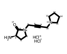 Cl.Cl.N[C@@H]1CCN(CC#CCN2CCCC2)C1=O